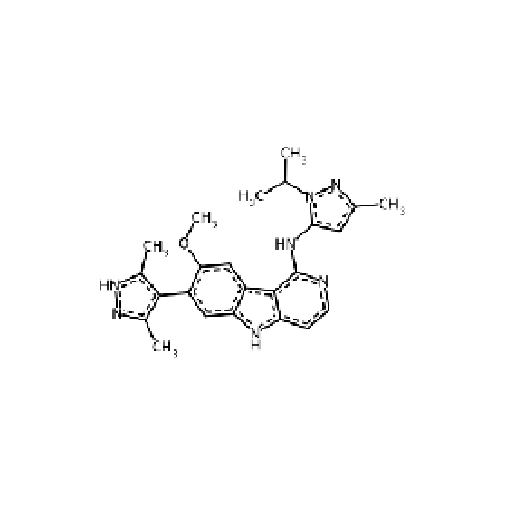 COc1cc2c(cc1-c1c(C)n[nH]c1C)[nH]c1ccnc(Nc3cc(C)nn3C(C)C)c12